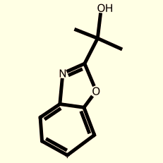 CC(C)(O)c1nc2cc[c]cc2o1